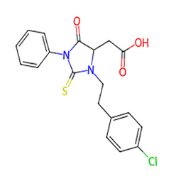 O=C(O)CC1C(=O)N(c2ccccc2)C(=S)N1CCc1ccc(Cl)cc1